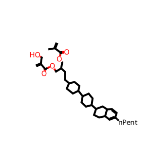 C=C(C)C(=O)OCC(CCC1CCC(C2CCC(C3CCC4C=C(CCCCC)C=CC4C3)CC2)CC1)COC(=O)C(=C)CO